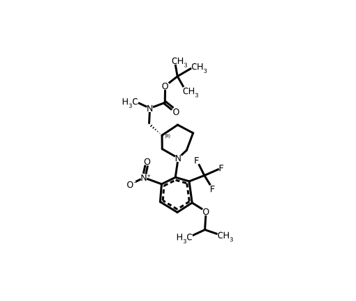 CC(C)Oc1ccc([N+](=O)[O-])c(N2CCC[C@@H](CN(C)C(=O)OC(C)(C)C)C2)c1C(F)(F)F